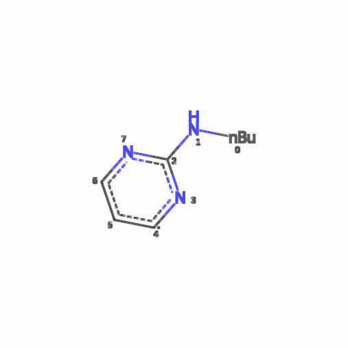 CCCCNc1n[c]ccn1